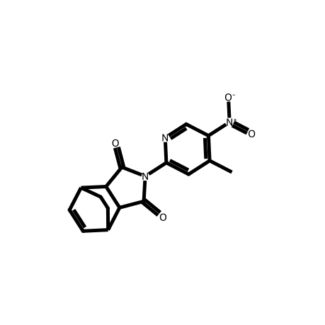 Cc1cc(N2C(=O)C3C4C=CC(CC4)C3C2=O)ncc1[N+](=O)[O-]